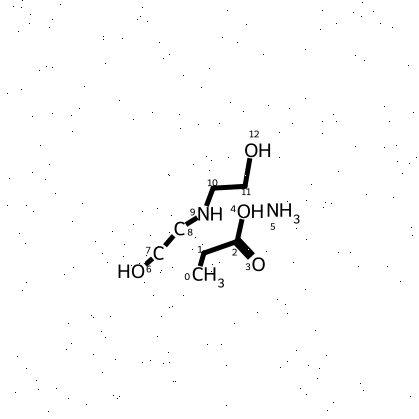 CCC(=O)O.N.OCCNCCO